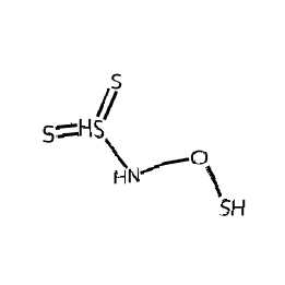 S=[SH](=S)NOS